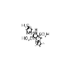 Cc1cnc([C@@H]2N[C@](Cn3cccn3)(C(=O)O)C[C@@H]2C(=O)O)s1